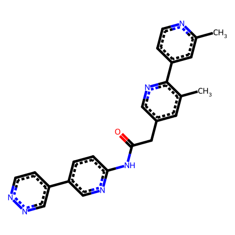 Cc1cc(-c2ncc(CC(=O)Nc3ccc(-c4ccnnc4)cn3)cc2C)ccn1